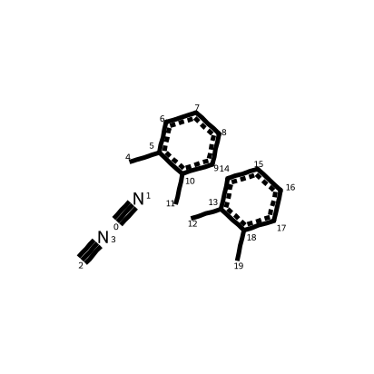 C#N.C#N.Cc1ccccc1C.Cc1ccccc1C